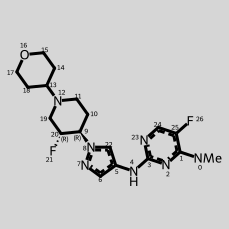 CNc1nc(Nc2cnn([C@@H]3CCN(C4CCOCC4)C[C@H]3F)c2)ncc1F